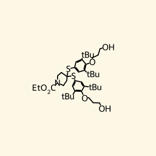 CCOC(=O)N1CCC(Sc2cc(C(C)(C)C)c(OCCCO)c(C(C)(C)C)c2)(Sc2cc(C(C)(C)C)c(OCCCO)c(C(C)(C)C)c2)CC1